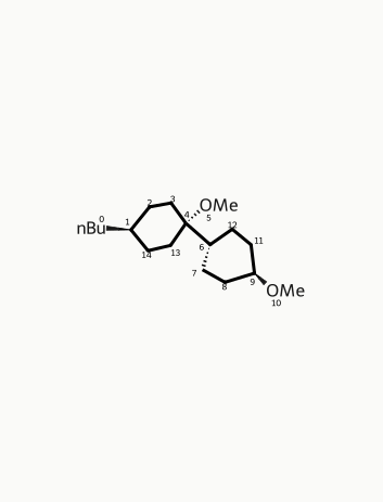 CCCC[C@H]1CC[C@@](OC)([C@H]2CC[C@H](OC)CC2)CC1